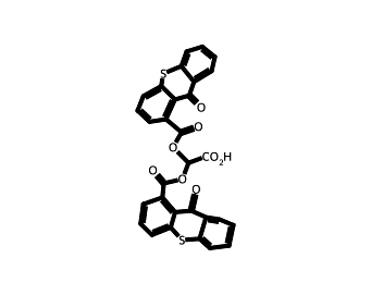 O=C(OC(OC(=O)c1cccc2sc3ccccc3c(=O)c12)C(=O)O)c1cccc2sc3ccccc3c(=O)c12